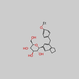 CCOc1ccc(Cc2cc([C@@H]3O[C@H](CO)[C@@H](O)[C@H](O)[C@H]3O)cc3c2CCC3)cc1